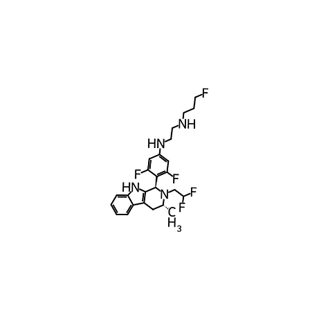 C[C@@H]1Cc2c([nH]c3ccccc23)[C@@H](c2c(F)cc(NCCNCCCF)cc2F)N1CC(F)F